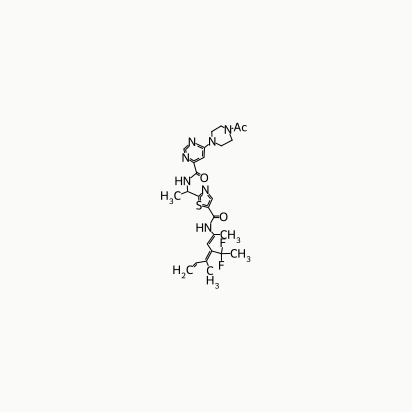 C=C/C(C)=C(\C=C(/C)NC(=O)c1cnc(C(C)NC(=O)c2cc(N3CCN(C(C)=O)CC3)ncn2)s1)C(C)(F)F